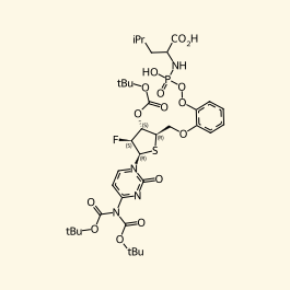 CC(C)CC(NP(=O)(O)OOc1ccccc1OC[C@H]1S[C@@H](n2ccc(N(C(=O)OC(C)(C)C)C(=O)OC(C)(C)C)nc2=O)[C@@H](F)[C@@H]1OC(=O)OC(C)(C)C)C(=O)O